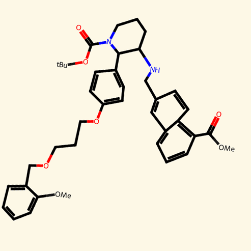 COC(=O)c1cccc2cc(CNC3CCCN(C(=O)OC(C)(C)C)C3c3ccc(OCCCOCc4ccccc4OC)cc3)ccc12